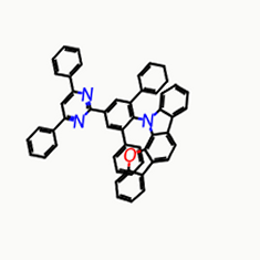 C1=CC(c2cc(-c3nc(-c4ccccc4)cc(-c4ccccc4)n3)cc(-c3ccccc3)c2-n2c3ccccc3c3ccc4c5ccccc5oc4c32)=CCC1